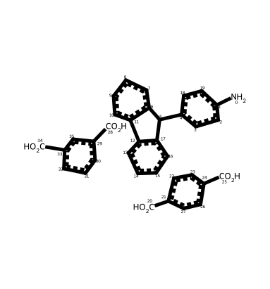 Nc1ccc(C2c3ccccc3-c3ccccc32)cc1.O=C(O)c1ccc(C(=O)O)cc1.O=C(O)c1cccc(C(=O)O)c1